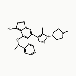 Cc1c(-c2cc(O[C@H](C)c3ccccn3)c3c(C#N)cnn3c2)cnn1C1CCN(C)CC1